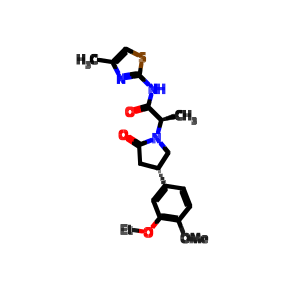 CCOc1cc([C@@H]2CC(=O)N([C@H](C)C(=O)Nc3nc(C)cs3)C2)ccc1OC